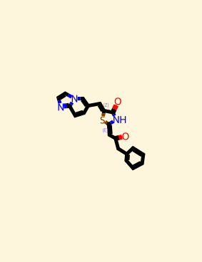 O=C(/C=c1\[nH]c(=O)/c(=C/c2ccc3nccn3c2)s1)Cc1ccccc1